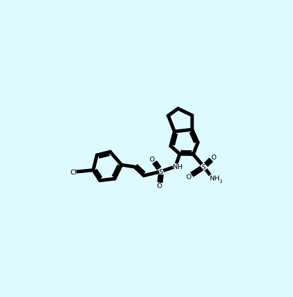 NS(=O)(=O)c1cc2c(cc1NS(=O)(=O)C=Cc1ccc(Cl)cc1)CCC2